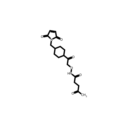 CC(=O)CCC(=O)NOCC(=O)C1CCC(CN2C(=O)C=CC2=O)CC1